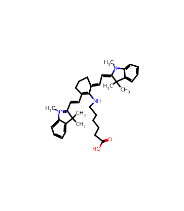 CN1/C(=C/C=C2\CCCC(/C=C/C3=[N+](C)c4ccccc4C3(C)C)=C2NCCCCCC(=O)O)C(C)(C)c2ccccc21